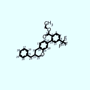 CCOC(=O)c1ccc(C(F)(F)F)cc1-c1ccc2c(c1)OCC(Cc1ccccc1)C2